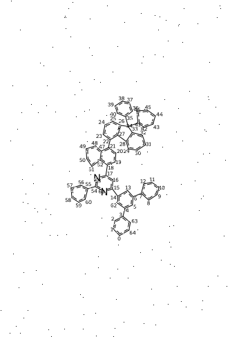 c1ccc(-c2cc(-c3ccccc3)cc(-c3cc(-c4ccc(-c5cccc6c5-c5ccccc5C6(c5ccccc5)c5ccccc5)c5ccccc45)nc(-c4ccccc4)n3)c2)cc1